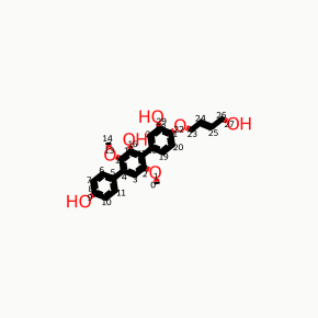 COc1cc(-c2ccc(O)cc2)c(OC)c(O)c1-c1ccc(OC/C=C/CO)c(O)c1